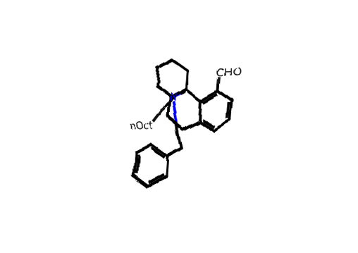 CCCCCCCCC1N(Cc2ccccc2)CCC23CCCCC12CCc1cccc(C=O)c13